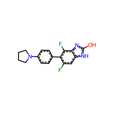 Oc1nc2c(F)c(-c3ccc(N4CCCC4)cc3)c(F)cc2[nH]1